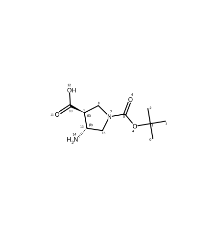 CC(C)(C)OC(=O)N1C[C@H](C(=O)O)[C@@H](N)C1